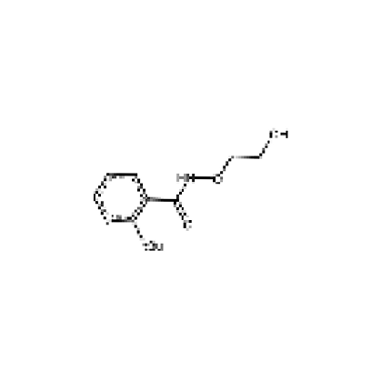 CC(C)(C)c1ncccc1C(=O)NOCCO